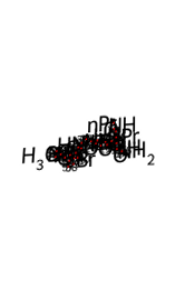 CCCNC(=O)CN[C@H](C(=O)N[C@@H](CCCNC(N)=O)C(=O)Nc1ccc(C(=O)Nc2ccc3[nH]c(C(=O)N4C[C@@H](CBr)c5c4cc(OC(=O)N4CCN(C)CC4)c4ccccc54)cc3c2)cc1)C(C)C